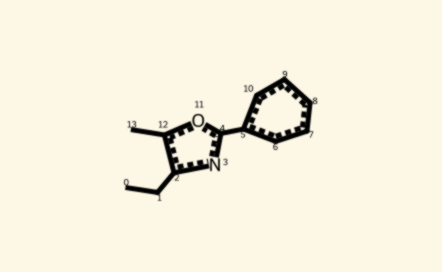 CCc1nc(-c2ccccc2)oc1C